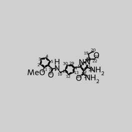 COc1ccccc1C(=O)NCc1ccc(-c2nn([C@@H]3CCOC3)c(N)c2C(N)=O)cc1